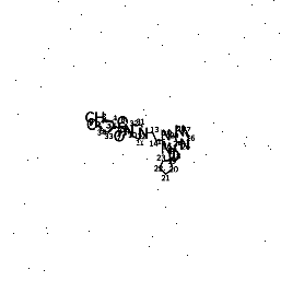 COc1ccc(S(=O)(=O)N2CCN(CCc3nc(OC4CCCC4)c4nccnc4n3)CC2)cc1